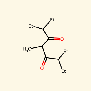 [CH2]CC(CC)C(=O)C(C)C(=O)C(CC)CC